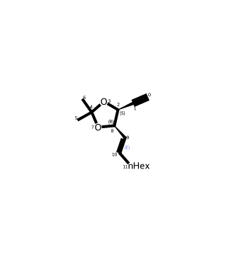 C#C[C@@H]1OC(C)(C)O[C@@H]1/C=C/CCCCCC